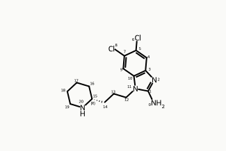 Nc1nc2cc(Cl)c(Cl)cc2n1CCC[C@H]1CCCCN1